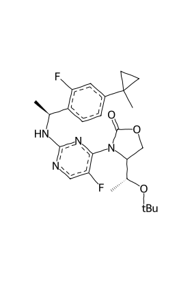 C[C@H](Nc1ncc(F)c(N2C(=O)OCC2[C@@H](C)OC(C)(C)C)n1)c1ccc(C2(C)CC2)cc1F